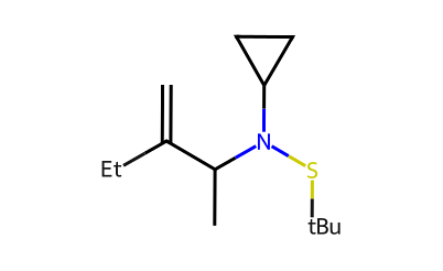 C=C(CC)C(C)N(SC(C)(C)C)C1CC1